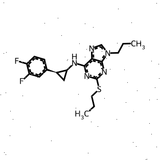 CCCSc1nc(NC2C[C@H]2c2ccc(F)c(F)c2)c2ncn(CCC)c2n1